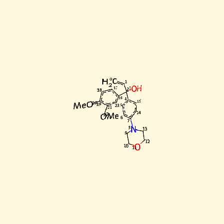 C=CC(O)(c1ccc(N2CCOCC2)cc1)c1ccc(OC)c(OC)c1